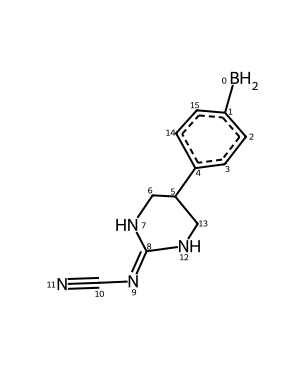 Bc1ccc(C2CNC(=NC#N)NC2)cc1